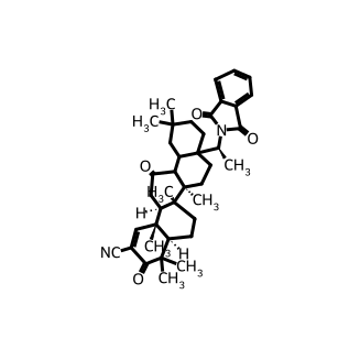 C[C@H](N1C(=O)c2ccccc2C1=O)C12CCC(C)(C)CC1C1C(=O)C[C@@H]3[C@@]4(C)C=C(C#N)C(=O)C(C)(C)[C@@H]4CC[C@@]3(C)[C@]1(C)CC2